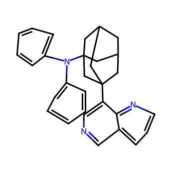 c1ccc(N(c2ccccc2)C23CC4CC(CC(c5cncc6cccnc56)(C4)C2)C3)cc1